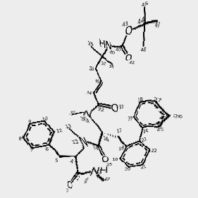 CNC(=O)[C@@H](Cc1ccccc1)N(C)C(=O)[C@@H](Cc1ccccc1-c1ccccc1)N(C)C(=O)/C=C/CC(C)(C)NC(=O)OC(C)(C)C